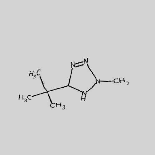 CN1N=NC(C(C)(C)C)N1